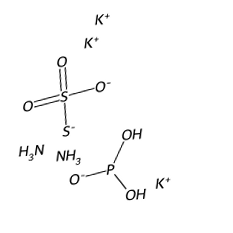 N.N.O=S(=O)([O-])[S-].[K+].[K+].[K+].[O-]P(O)O